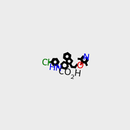 Cc1cncc(C)c1OC[C@H](C)CC1Cc2ccccc2C12CCC(Nc1cccc(Cl)c1)(C(=O)O)CC2